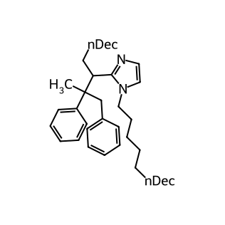 CCCCCCCCCCCCCCCn1ccnc1C(CCCCCCCCCCC)C(C)(Cc1ccccc1)c1ccccc1